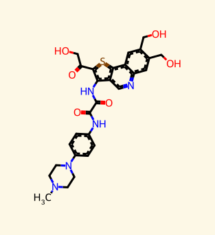 CN1CCN(c2ccc(NC(=O)C(=O)Nc3c(C(=O)CO)sc4c3cnc3cc(CO)c(CO)cc34)cc2)CC1